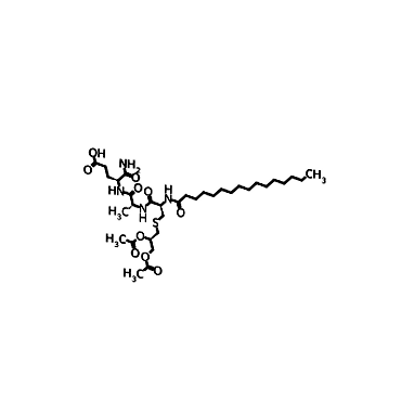 CCCCCCCCCCCCCCCC(=O)N[C@@H](CSC[C@@H](COC(C)=O)OC(C)=O)C(=O)N[C@H](C)C(=O)N[C@@H](CCC(=O)O)C(N)=O